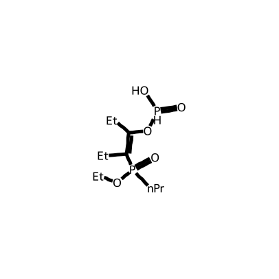 CCCP(=O)(OCC)C(CC)=C(CC)O[PH](=O)O